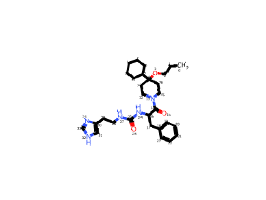 CCCOC1(C2CCCCC2)CCN(C(=O)C(Cc2ccccc2)NC(=O)NCCc2c[nH]cn2)CC1